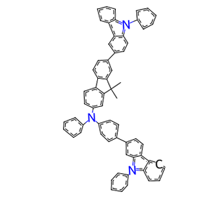 CC1(C)c2cc(-c3ccc4c(c3)c3ccccc3n4-c3ccccc3)ccc2-c2ccc(N(c3ccccc3)c3ccc(-c4ccc5c6ccccc6n(-c6ccccc6)c5c4)cc3)cc21